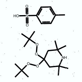 CC1(C)CC(OOC(C)(C)C)(OOC(C)(C)C)CC(C)(C)N1.Cc1ccc(S(=O)(=O)O)cc1